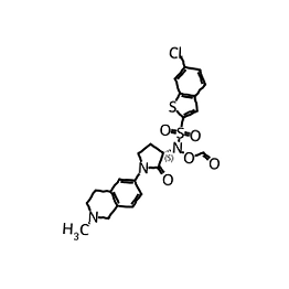 CN1CCc2cc(N3CC[C@H](N(OC=O)S(=O)(=O)c4cc5ccc(Cl)cc5s4)C3=O)ccc2C1